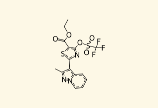 CCOC(=O)c1sc(-c2c(C)nn3ccccc23)nc1OS(=O)(=O)C(F)(F)F